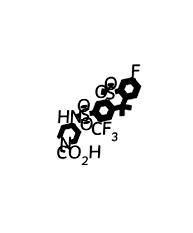 CC1(C)c2ccc(F)cc2S(=O)(=O)c2cc(S(=O)(=O)NC3CCN(C(=O)O)CC3)c(C(F)(F)F)cc21